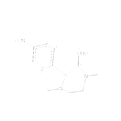 CN1CCN(C)C(c2ccc([N+](=O)[O-])cc2)C1C=O